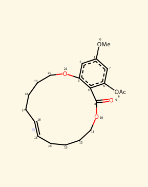 COc1cc2c(c(OC(C)=O)c1)C(=O)OCCCC/C=C/CCCCO2